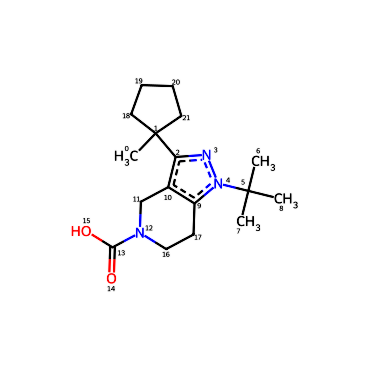 CC1(c2nn(C(C)(C)C)c3c2CN(C(=O)O)CC3)CCCC1